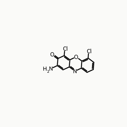 Nc1cc2nc3cccc(Cl)c3oc-2c(Cl)c1=O